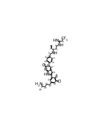 C=C[C@@H](CCNC(=N)CC(F)(F)F)NCc1ccc(-n2cc3cc(-c4cc(CCC[C@H](C)N)cc(Cl)c4F)[nH]c3nc2=O)cc1